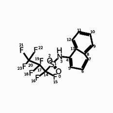 O=S(=O)(Nc1cccc2ccccc12)C(F)(F)C(F)(F)C(F)(F)F